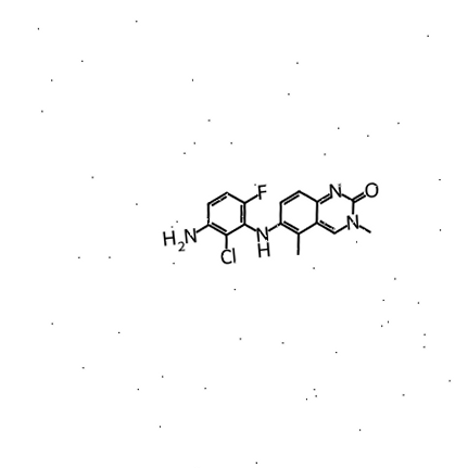 Cc1c(Nc2c(F)ccc(N)c2Cl)ccc2nc(=O)n(C)cc12